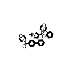 O=C(c1ccc(-c2ccccc2[C@@H]2CNC[C@H]2C(=O)N2CCOC[C@@H]2c2ccccc2)cc1)N1CCOCC1